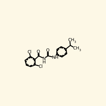 CC(C)c1ccc(NC(=O)NC(=O)c2c(Cl)cccc2Cl)cc1